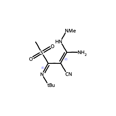 CNN/C(N)=C(C#N)\C(=N/C(C)(C)C)S(C)(=O)=O